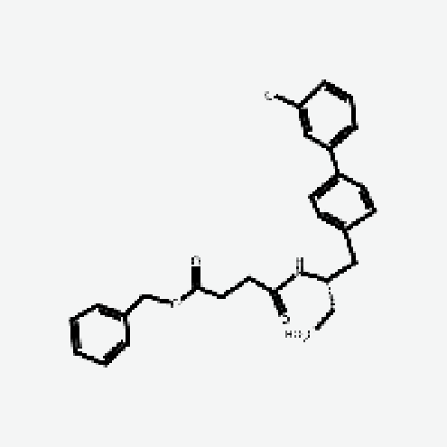 O=C(O)C[C@@H](Cc1ccc(-c2cccc(Cl)c2)cc1)NC(=O)CCC(=O)OCc1ccccc1